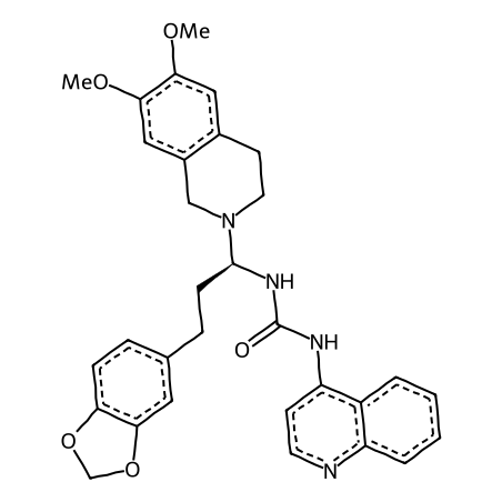 COc1cc2c(cc1OC)CN([C@H](CCc1ccc3c(c1)OCO3)NC(=O)Nc1ccnc3ccccc13)CC2